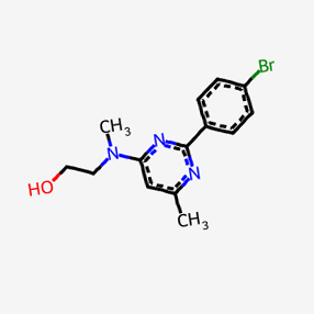 Cc1cc(N(C)CCO)nc(-c2ccc(Br)cc2)n1